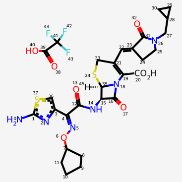 Nc1nc(C(=NOC2CCCC2)C(=O)N[C@@H]2C(=O)N3C(C(=O)O)=C(C=C4CCN(CC5CC5)C4=O)CS[C@H]23)cs1.O=C(O)C(F)(F)F